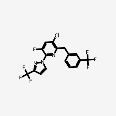 Fc1cc(Cl)c(Cc2cccc(C(F)(F)F)c2)nc1-n1ccc(C(F)(F)F)n1